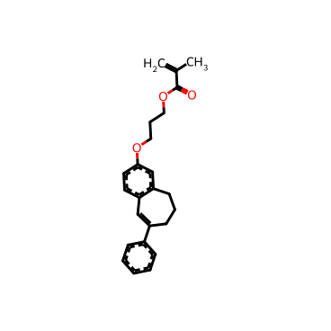 C=C(C)C(=O)OCCCOc1ccc2c(c1)CCCC(c1ccccc1)=C2